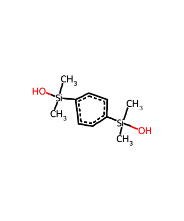 C[Si](C)(O)c1ccc([Si](C)(C)O)cc1